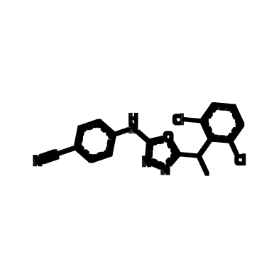 CC(c1nnc(Nc2ccc(C#N)cc2)o1)c1c(Cl)cccc1Cl